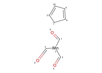 O=[CH][Mn]([CH]=O)[CH]=O.[CH]1C=CC=C1